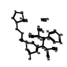 Cc1cc(OCCC2CCCN2)cc(C(C(=O)O)N(C(=N)N)c2ccccc2)c1.Cl